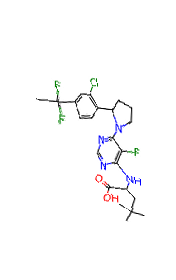 CC(C)(C)CC(Nc1ncnc(N2CCCC2c2ccc(C(C)(F)F)cc2Cl)c1F)C(=O)O